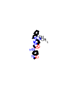 CN(C)c1cc(=O)n(CC(=O)Nc2ccc3ocnc3c2)nc1N1CCC2(CCCC2)C1